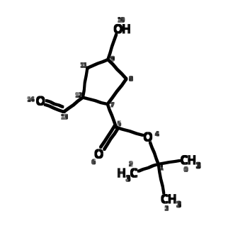 CC(C)(C)OC(=O)C1CC(O)CC1C=O